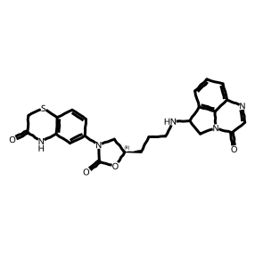 O=C1CSc2ccc(N3C[C@@H](CCCNC4Cn5c(=O)cnc6cccc4c65)OC3=O)cc2N1